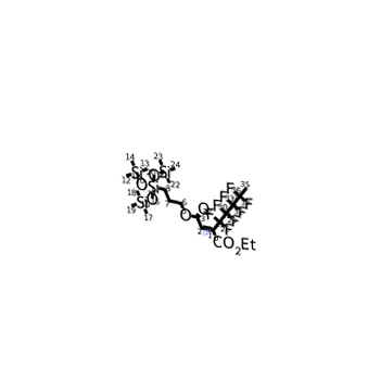 CCOC(=O)/C(=C/C(=O)OCCC[Si](O[Si](C)(C)C)(O[Si](C)(C)C)O[Si](C)(C)C)C(F)(F)C(F)(F)C(F)(F)C(C)(F)F